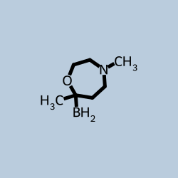 BC1(C)CCN(C)CCO1